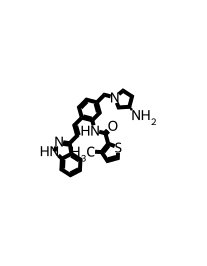 Cc1ccsc1C(=O)Nc1cc(CN2CC[C@@H](N)C2)ccc1C=Cc1n[nH]c2ccccc12